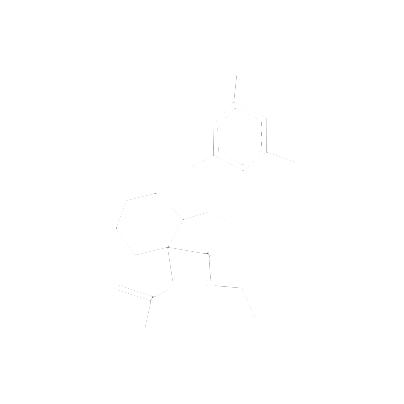 CCOC(=O)C1(OC(C)=O)CCCCC1OC.Cc1cc(C)cc(C)c1